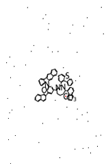 CC1CC/C(c2cc(-n3c4ccccc4c4cc5ccccc5cc43)c3oc4c5ccccc5ccc4c3c2)=N\C(c2cccc3sc4ccccc4c23)=N/C1c1cccc2ccccc12